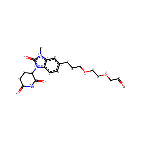 Cn1c(=O)n(C2CCC(=O)NC2=O)c2ccc(CCCOCCOCC=O)cc21